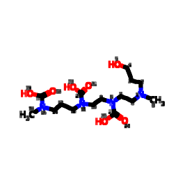 CN(CCCO)CCN(CCN(CCCN(C)C(=O)O)C(=O)O)C(=O)O